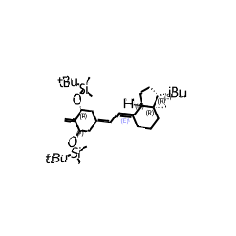 C=C1[C@H](O[Si](C)(C)C(C)(C)C)CC(=C/C=C2\CCC[C@]3(C)[C@@H]([C@@H](C)CC)CC[C@@H]23)C[C@H]1O[Si](C)(C)C(C)(C)C